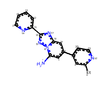 CCc1cc(-c2cc(N)n3nc(-c4ccccn4)nc3c2)ccn1